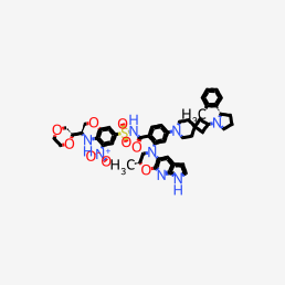 Cc1ccccc1[C@@H]1CCCN1C1CC2(CCN(c3ccc(C(=O)NS(=O)(=O)c4cc5c(c([N+](=O)[O-])c4)N[C@@H]([C@H]4COCCO4)CO5)c(N4C[C@@H](C)Oc5nc6[nH]ccc6cc54)c3)CC2)C1